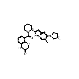 Cc1cn2nc([C@@H]3CCCCN3C(=O)c3cccc4c3OCC(=O)N4)cc2nc1N1CC[C@H](C)C1